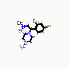 CCN(CC)CC(c1ccc(F)cc1F)N1CCN(C)CC1